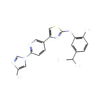 Cc1cn(-c2ccc(-c3csc(Nc4cc(C(C)C)ccc4C)n3)cn2)cn1